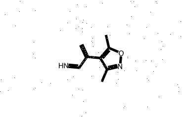 C=C(C=N)c1c(C)noc1C